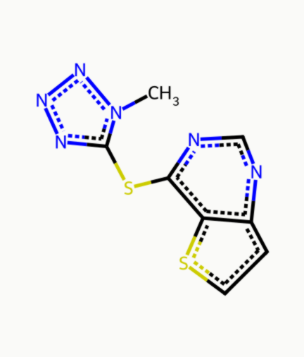 Cn1nnnc1Sc1ncnc2ccsc12